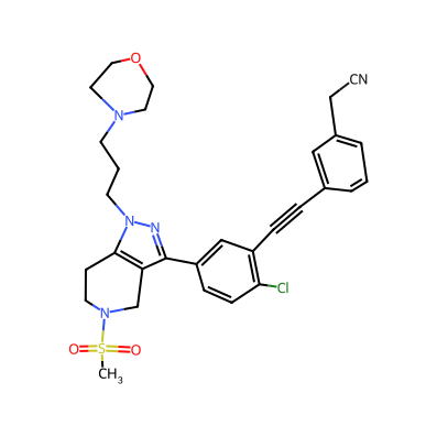 CS(=O)(=O)N1CCc2c(c(-c3ccc(Cl)c(C#Cc4cccc(CC#N)c4)c3)nn2CCCN2CCOCC2)C1